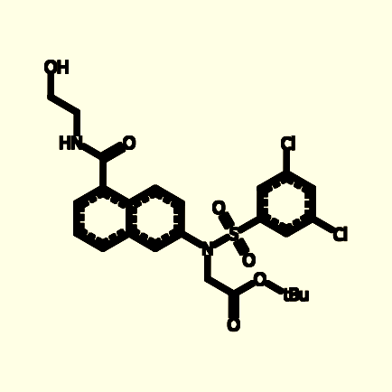 CC(C)(C)OC(=O)CN(c1ccc2c(C(=O)NCCO)cccc2c1)S(=O)(=O)c1cc(Cl)cc(Cl)c1